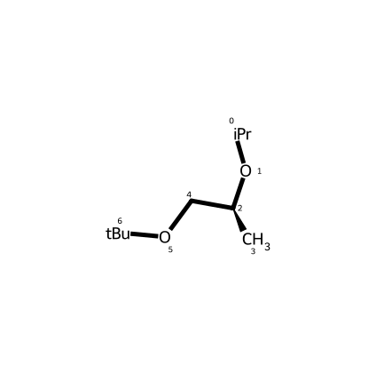 CC(C)O[C@@H](C)COC(C)(C)C